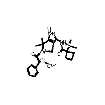 CC1(C)c2[nH]nc(NC(=O)C3(S(C)(C)C)CCC3)c2CN1C(=O)[C@H](CO)c1ccccc1